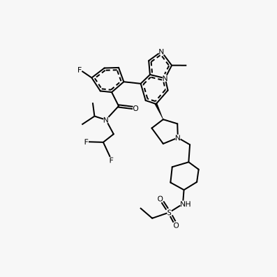 CCS(=O)(=O)NC1CCC(CN2CC[C@@H](c3cc(-c4ccc(F)cc4C(=O)N(CC(F)F)C(C)C)c4cnc(C)n4c3)C2)CC1